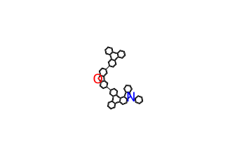 c1ccc(-n2c3ccccc3c3c4c(ccc32)c2ccccc2c2cc(-c3ccc5oc6ccc(-c7ccc8c9ccccc9c9ccccc9c8c7)cc6c5c3)ccc24)cc1